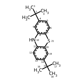 CC(C)(C)c1ccc2c(c1)Nc1ccc(C(C)(C)C)cc1S2